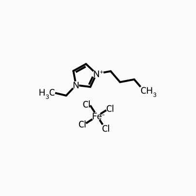 CCCC[n+]1ccn(CC)c1.[Cl][Fe-]([Cl])([Cl])[Cl]